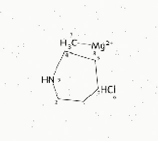 C1CCNCC1.Cl.[CH3][Mg+2]